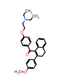 CCN(CC)CCOc1ccc(C(=O)C2=C(c3ccc(OC)cc3)CCc3ccccc32)cc1